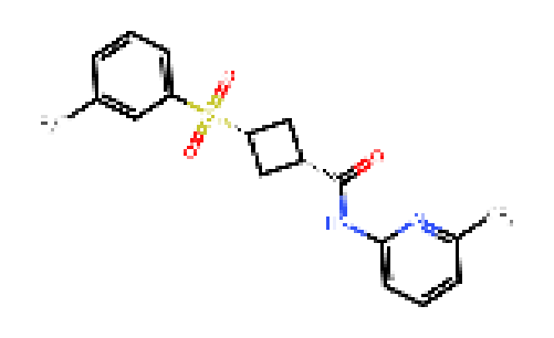 O=C(Nc1cccc(C(F)(F)F)n1)[C@H]1C[C@@H](S(=O)(=O)c2cccc(C(F)(F)F)c2)C1